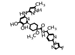 CO[C@]1(C(=O)N[C@@H](C)c2ccc(-n3cc(F)cn3)nc2)CC[C@H](c2nc(Nc3cc(C)[nH]n3)cc(O)c2O)CC1